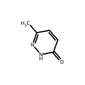 Cc1c[c]c(=O)[nH]n1